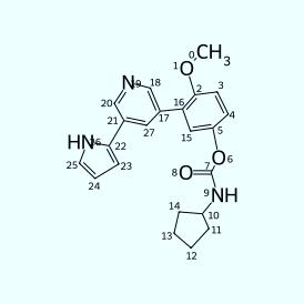 COc1ccc(OC(=O)NC2CCCC2)cc1-c1cncc(-c2ccc[nH]2)c1